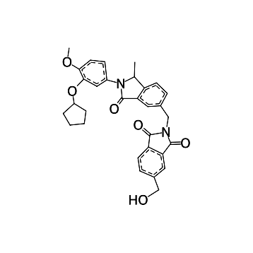 COc1ccc(N2C(=O)c3cc(CN4C(=O)c5ccc(CO)cc5C4=O)ccc3C2C)cc1OC1CCCC1